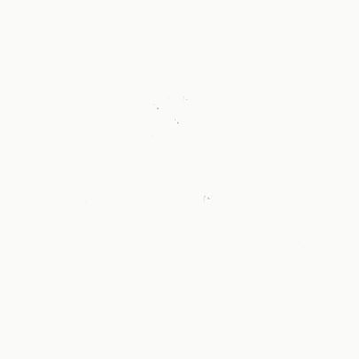 N#Cc1cc(-c2cccc(-c3nc(-c4ccccc4)nc(-c4ccc(-c5cccc6ccccc56)cc4)n3)c2)ccc1-c1ccccc1-c1ccccc1-c1ccc2ccc3ccccc3c2c1